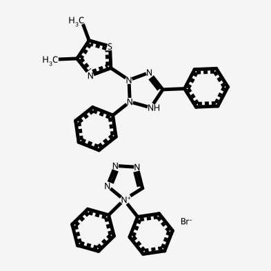 C1=NN=N[N+]1(c1ccccc1)c1ccccc1.Cc1nc(N2N=C(c3ccccc3)NN2c2ccccc2)sc1C.[Br-]